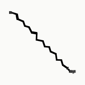 CCC=CCCCC=CCCCCCCCCCCC(=O)O